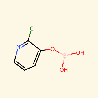 OB(O)Oc1cccnc1Cl